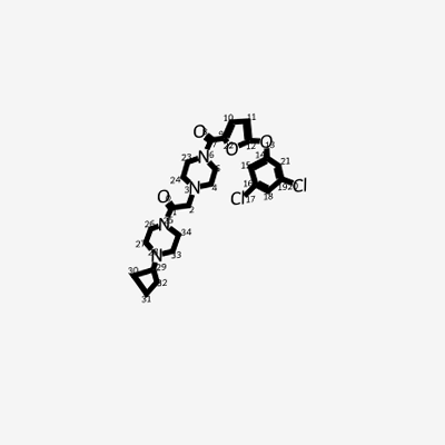 O=C(CN1CCN(C(=O)c2ccc(Oc3cc(Cl)cc(Cl)c3)o2)CC1)N1CCN(C2CCC2)CC1